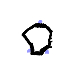 [C]1=C\C=C\CC/C=C\CC/1